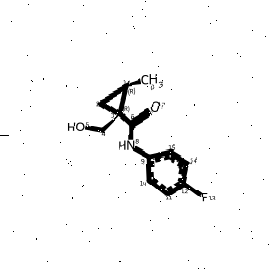 C[C@@H]1C[C@@]1(CO)C(=O)Nc1ccc(F)cc1